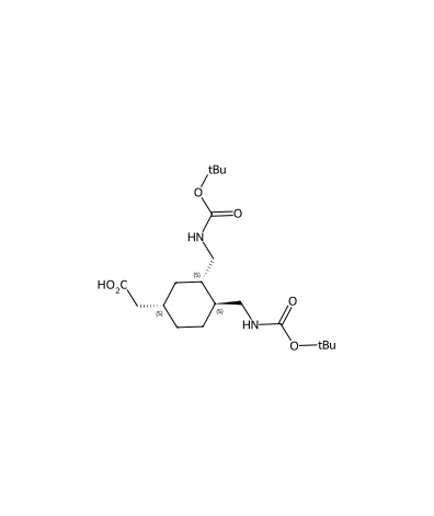 CC(C)(C)OC(=O)NC[C@H]1CC[C@H](CC(=O)O)C[C@@H]1CNC(=O)OC(C)(C)C